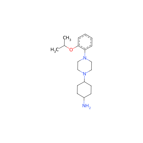 CC(C)Oc1ccccc1N1CCN(C2CCC(N)CC2)CC1